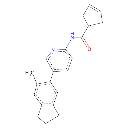 Cc1cc2c(cc1-c1ccc(NC(=O)C3CC=CC3)nc1)CCC2